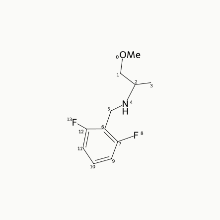 COCC(C)NCc1c(F)cccc1F